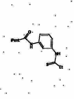 CCCC(C)C(=O)Nc1cccc(NC(=S)CC)c1